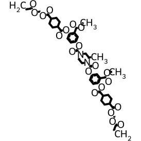 C=CC(=O)OCOC(=O)C1CCC(C(=O)Oc2ccc(OC(=O)N3CCN(C(=O)Oc4ccc(OC(=O)C5CCC(C(=O)OCOC(=O)C=C)CC5)c(C(=O)OC)c4)C(C)C3)cc2C(=O)OC)CC1